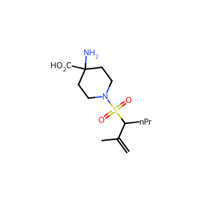 C=C(C)C(CCC)S(=O)(=O)N1CCC(N)(C(=O)O)CC1